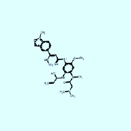 C=CC(O)Nc1cc(NC(=N)/C=C(\NN)c2ccc3c(cnn3C)c2)c(OC)cc1N(C)C(=O)CN(C)C